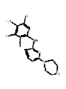 CCc1cc(Nc2ccnc(N3CCNCC3)n2)c(C)c(CC)c1N